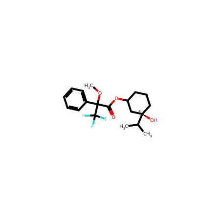 COC(C(=O)OC1CCC[C@](O)(C(C)C)C1)(c1ccccc1)C(F)(F)F